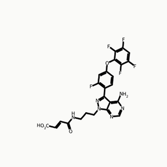 Nc1ncnc2c1c(-c1ccc(Oc3c(F)c(F)cc(F)c3F)cc1F)nn2CCCNC(=O)C=CC(=O)O